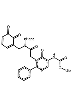 CCCCCCCN(CC1=CC=CC(=O)C1=O)C(=O)Cn1c(-c2ccccc2)ncc(NC(=O)OC(C)(C)C)c1=O